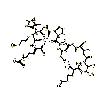 CC(NC(=O)[C@@H](NC(=O)C(N)CCCCN)C(O)CN)C(=O)NCC(=O)N[C@H](CCCN)C(=O)N1CCC[C@H]1C(=O)N[C@@H](Cc1cnc[nH]1)C(=O)N[C@@H](CCCCN)C(=O)N/C(=C\CCNC(=N)N)C(=O)O